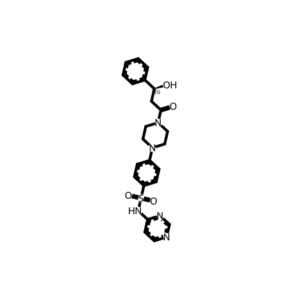 O=C(C[C@H](O)c1ccccc1)N1CCN(c2ccc(S(=O)(=O)Nc3ccncn3)cc2)CC1